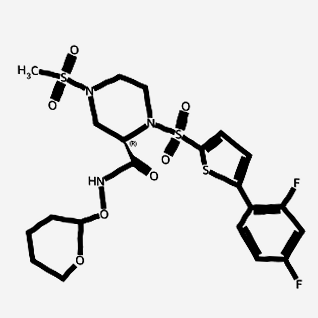 CS(=O)(=O)N1CCN(S(=O)(=O)c2ccc(-c3ccc(F)cc3F)s2)[C@@H](C(=O)NOC2CCCCO2)C1